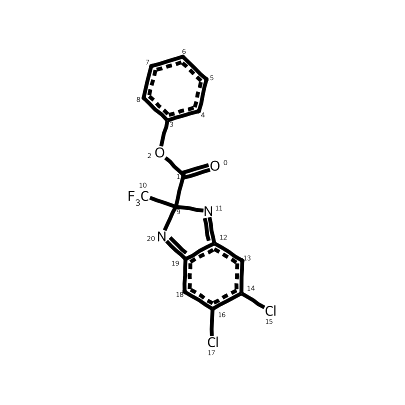 O=C(Oc1ccccc1)C1(C(F)(F)F)N=c2cc(Cl)c(Cl)cc2=N1